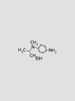 CC(C)N(C)c1ccc(N)cc1.Cl